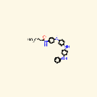 O=C(O)CCC(=O)Nc1ccc(Nc2ccc(Nc3ccc(Nc4ccccc4)cc3)cc2)cc1